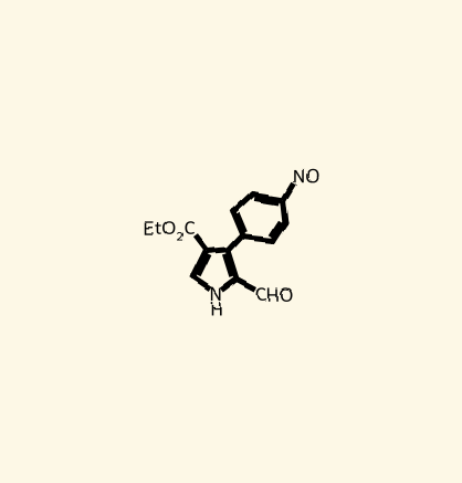 CCOC(=O)c1c[nH]c(C=O)c1-c1ccc(N=O)cc1